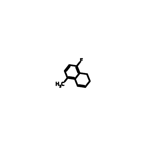 Cc1ccc(F)c2c1C=CCC2